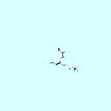 C=CC(C)C(Cl)O/C(=C\CC)CO[Si](C)(C)C(C)(C)C